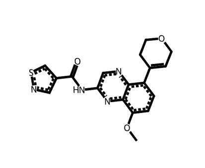 COc1ccc(C2=CCOCC2)c2ncc(NC(=O)c3cnsc3)nc12